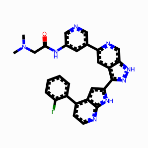 CN(C)CC(=O)Nc1cncc(-c2cc3c(-c4cc5c(-c6ccccc6F)ccnc5[nH]4)n[nH]c3cn2)c1